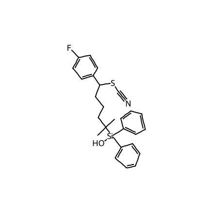 CC(C)(CCCC(SC#N)c1ccc(F)cc1)[Si](O)(c1ccccc1)c1ccccc1